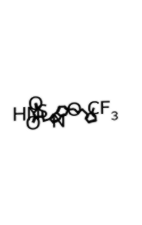 O=C1NC(=O)C(Cc2cnc3cc(OCCc4ccccc4C(F)(F)F)ccc3c2)S1